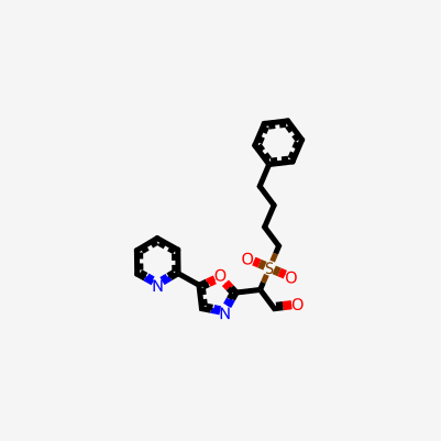 O=CC(c1ncc(-c2ccccn2)o1)S(=O)(=O)CCCCc1ccccc1